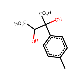 Cc1ccc(C(O)(C(=O)O)C(O)C(=O)O)cc1